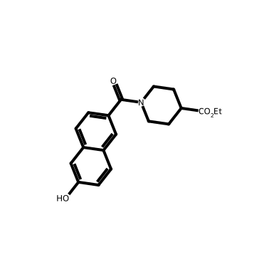 CCOC(=O)C1CCN(C(=O)c2ccc3cc(O)ccc3c2)CC1